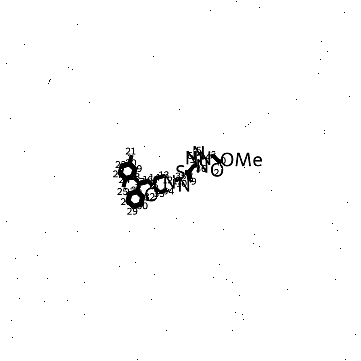 COC(=O)Cn1nnc(-c2cnc(N3CCC4(C=C(c5cc(C)ccc5C)c5ccccc5O4)CC3)s2)n1